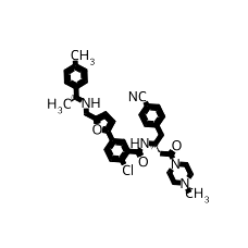 Cc1ccc([C@@H](C)NCc2ccc(-c3ccc(Cl)c(C(=O)N[C@@H](CC(=O)N4CCN(C)CC4)Cc4ccc(C#N)cc4)c3)o2)cc1